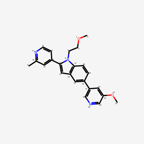 COCCn1c(-c2ccnc(C)c2)cc2cc(-c3cncc(OC)c3)ccc21